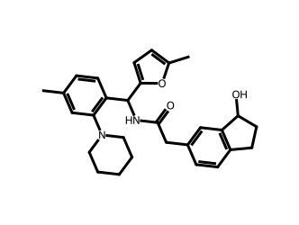 Cc1ccc(C(NC(=O)Cc2ccc3c(c2)C(O)CC3)c2ccc(C)o2)c(N2CCCCC2)c1